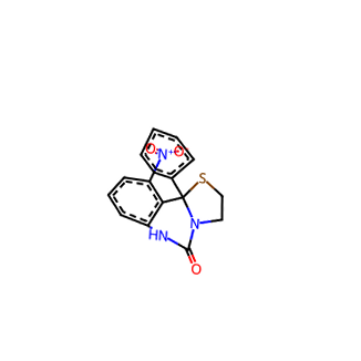 O=C1Nc2cccc([N+](=O)[O-])c2C2(c3ccccc3)SCCN12